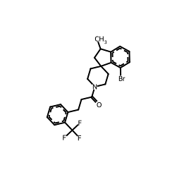 CC1CC2(CCN(C(=O)CCc3ccccc3C(F)(F)F)CC2)c2c(Br)cccc21